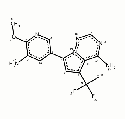 COc1ncc(-c2cc(C(F)(F)F)c3c(N)ncnn23)cc1N